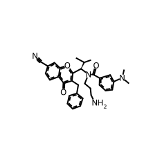 CC(C)[C@H](c1oc2cc(C#N)ccc2c(=O)c1Cc1ccccc1)N(CCCN)C(=O)c1cccc(N(C)C)c1